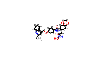 Cc1cc(COc2ccc(C(=O)N[C@]3(CC(=O)NO)CC[C@]4(CC3)COCCO4)cc2)c2ccccc2n1